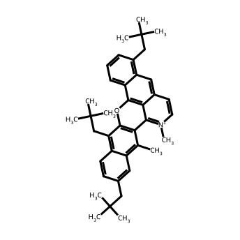 Cc1c2c(c(CC(C)(C)C)c3ccc(CC(C)(C)C)cc13)Oc1c3cccc(CC(C)(C)C)c3cc3cc[n+](C)c-2c13